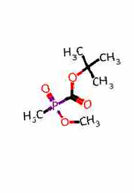 COP(C)(=O)C(=O)OC(C)(C)C